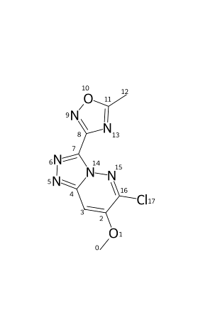 COc1cc2nnc(-c3noc(C)n3)n2nc1Cl